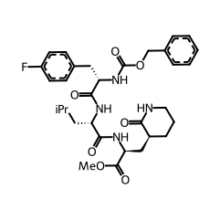 COC(=O)[C@H](C[C@@H]1CCCNC1=O)NC(=O)[C@H](CC(C)C)NC(=O)[C@H](Cc1ccc(F)cc1)NC(=O)OCc1ccccc1